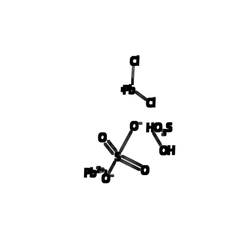 O=S(=O)(O)O.O=S(=O)([O-])[O-].[Cl][Pb][Cl].[Pb+2]